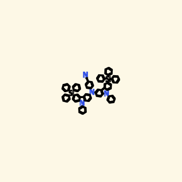 N#Cc1ccc(N(c2ccc3c(c2)c2cc([Si](c4ccccc4)(c4ccccc4)c4ccccc4)ccc2n3-c2ccccc2)c2ccc3c(c2)c2cc([Si](c4ccccc4)(c4ccccc4)c4ccccc4)ccc2n3-c2ccccc2)cc1